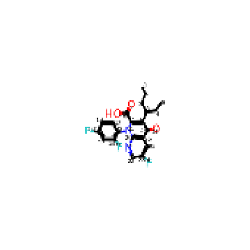 CCCC(CC)c1c(C(=O)O)n(-c2ccc(F)cc2F)c2ncc(F)cc2c1=O